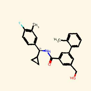 Cc1cc([C@@H](NC(=O)c2cc(CO)cc(-c3ccccc3C)c2)C2CC2)ccc1F